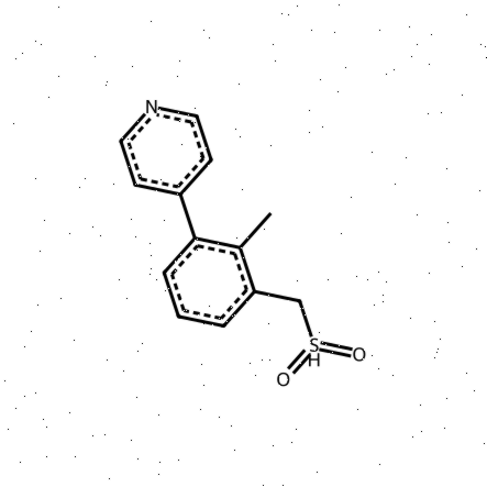 Cc1c(C[SH](=O)=O)cccc1-c1ccncc1